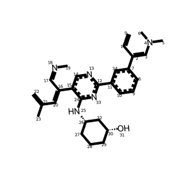 C=C/C(=C\N(C)C)c1cccc(-c2ncc(C(/C=N\C)=C/C(=C)C)c(N[C@H]3CCC[C@@H](O)C3)n2)c1